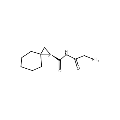 NCC(=O)NC(=O)[C@@H]1CC12CCCCC2